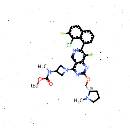 CN(C(=O)OC(C)(C)C)C1CN(c2nc(OC[C@@H]3CCCN3C)nc3c(F)c(-c4cccc5ccc(F)c(Cl)c45)ncc23)C1